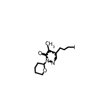 Cc1c(CCCI)cnn(C2CCCCO2)c1=O